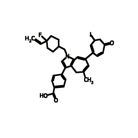 C=CC1(F)CCC(Cn2cc(-c3ccc(C(=O)O)cc3)c3c2C=C(C2=CC(I)CC(=O)C=C2)C=C(C)C3)CC1